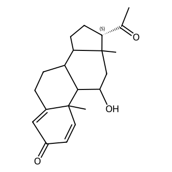 CC(=O)[C@H]1CCC2C3CCC4=CC(=O)C=CC4(C)C3C(O)CC21C